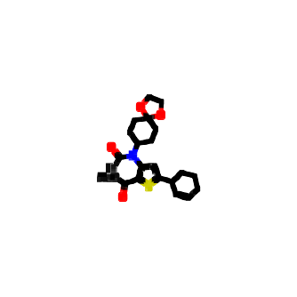 CCC(=O)N(c1cc(C2C=CCCC2)sc1C(=O)OC)C1CCC2(CC1)OCCO2